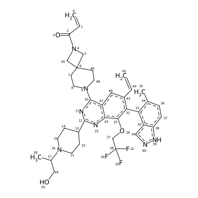 C=CC(=O)N1CC2(CCN(c3nc(C4CCN(C(C)CO)CC4)nc4c(OCC(F)(F)F)c(-c5c(C)ccc6[nH]ncc56)c(C=C)cc34)CC2)C1